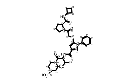 CC(F)C(NC(=O)c1cc(OCC(=O)N2CCC[C@H]2C(=O)NC2CCC2)n(-c2ccccc2)n1)C(=O)N1CCN(C(=O)O)CC1